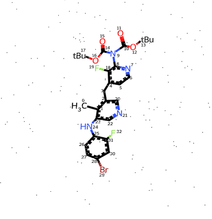 Cc1c(Cc2ccnc(N(C(=O)OC(C)(C)C)C(=O)OC(C)(C)C)c2F)cncc1Nc1ccc(Br)cc1F